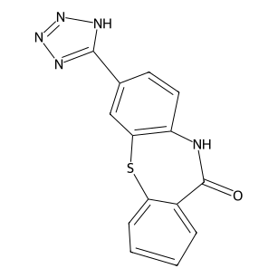 O=C1Nc2ccc(-c3nnn[nH]3)cc2Sc2ccccc21